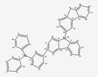 c1ccc(N(c2ccccc2)c2cccc(-c3ccc4c(c3)c3ccccc3n4-c3ccc4c(c3)-c3ccccc3C4)c2)cc1